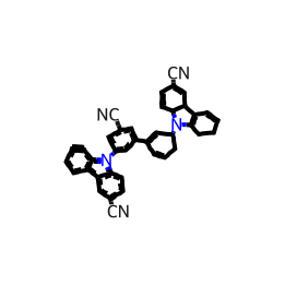 N#CC1=CC2C3=C(CCC=C3)N(C3C=C(c4cc(C#N)cc(-n5c6c#cccc6c6cc(C#N)ccc65)c4)C=CC3)C2C=C1